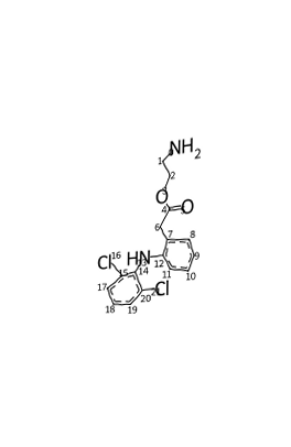 NCCOC(=O)Cc1ccccc1Nc1c(Cl)cccc1Cl